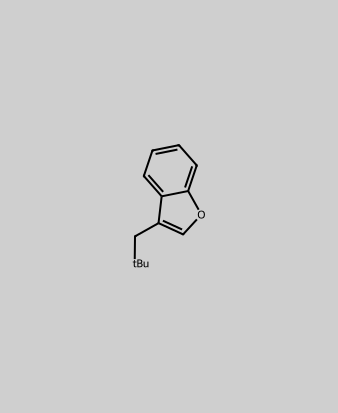 CC(C)(C)Cc1coc2ccccc12